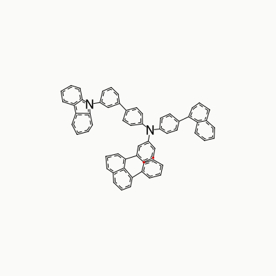 c1ccc(-c2cccc3cccc(-c4cccc(N(c5ccc(-c6cccc(-n7c8ccccc8c8ccccc87)c6)cc5)c5ccc(-c6cccc7ccccc67)cc5)c4)c23)cc1